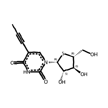 CC#Cc1cn([C@@H]2S[C@H](CO)[C@@H](O)[C@@H]2O)c(=O)[nH]c1=O